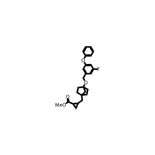 COC(=O)C1CC1CC12CCC(OCc3cc(F)cc(Oc4ccccc4)c3)(CC1)C2